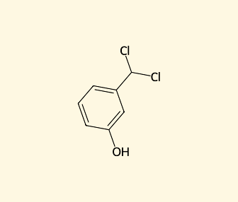 Oc1cccc(C(Cl)Cl)c1